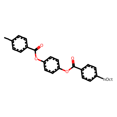 CCCCCCCCc1ccc(C(=O)Oc2ccc(OC(=O)c3ccc(C)cc3)cc2)cc1